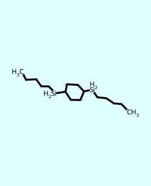 CCCCC[SiH2]C1[CH]CC([SiH2]CCCCC)[CH]C1